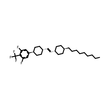 CCCCCCCCC[C@H]1CC[C@H](/C=C/[C@H]2CC[C@H](c3cc(F)c(C(F)(F)F)c(F)c3)CC2)CC1